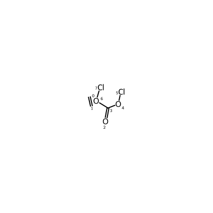 C=C.O=C(OCl)OCl